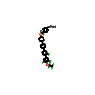 CCCCCc1ccc(C(F)(F)OC2CCC(c3ccc(-c4ccc(-c5cc(F)c(OC(F)(F)C(F)F)c(F)c5)c(F)c4)cc3)CC2)cc1